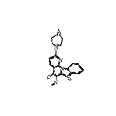 C=Nc1c(=O)c2ccc(N3CCN(C)CC3)nc2n2c1sc1ccccc12